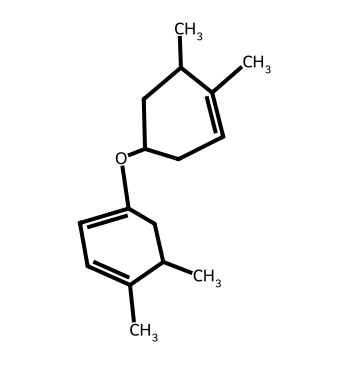 CC1=CC=C(OC2CC=C(C)C(C)C2)CC1C